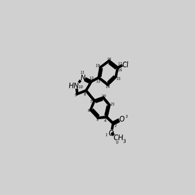 COC(=O)c1ccc(C2CNN=C2c2ccc(Cl)cc2)cc1